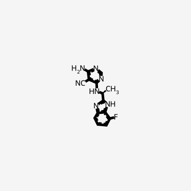 C[C@H](Nc1ncnc(N)c1C#N)c1nc2cccc(F)c2[nH]1